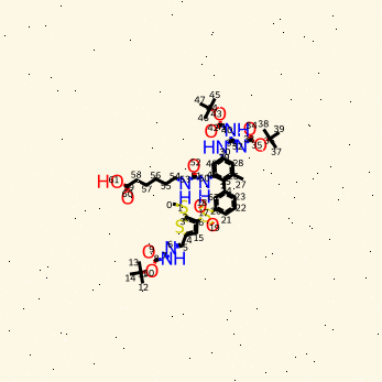 CSc1sc(C=NNC(=O)OC(C)(C)C)cc1S(=O)(=O)c1cccc(-c2c(C)cc(NC(=NC(=O)OC(C)(C)C)NC(=O)OC(C)(C)C)cc2NC(=O)NCCCCCC(=O)O)c1